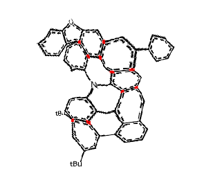 CC(C)(C)c1cc(-c2cccc3cccc(-c4ccccc4N(c4ccccc4-c4ccc(-c5ccccc5)cc4)c4ccccc4-c4ccc5oc6ccccc6c5c4)c23)cc(C(C)(C)C)c1